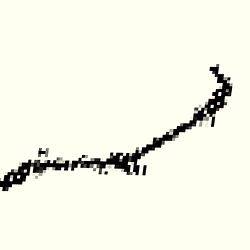 CC(C)CCC[C@H](C)C1CCC2C3CC=C4C[C@@H](OC(=O)NCCCOCCOCCOCCOCC(O)COP(=O)(O)CC(CO)COCCOCCCOCCCOCCCOCCNC(=O)O[C@H]5CC[C@@]6(C)C(=CCC7C8CCC([C@@H](C)CCCC(C)C)[C@@]8(C)CCC76)C5)CC[C@]4(C)C3CC[C@@]21C